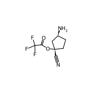 N#C[C@]1(OC(=O)C(F)(F)F)CC[C@H](N)C1